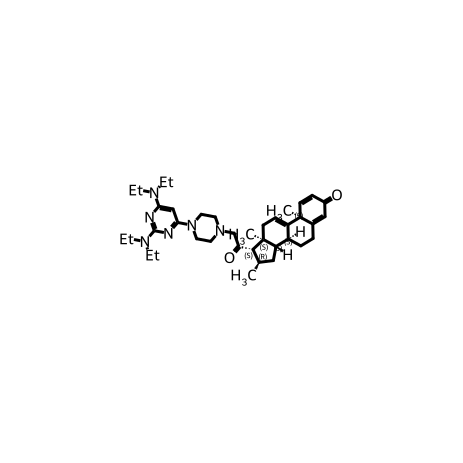 CCN(CC)c1cc(N2CCN(CC(=O)[C@H]3[C@H](C)C[C@H]4[C@@H]5CCC6=CC(=O)C=C[C@]6(C)C5=CC[C@@]43C)CC2)nc(N(CC)CC)n1